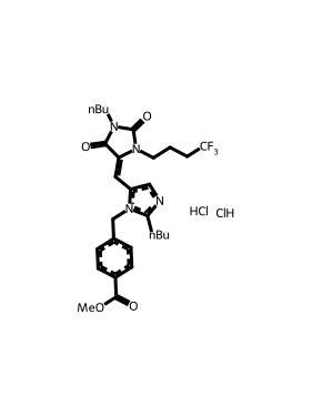 CCCCc1ncc(/C=C2/C(=O)N(CCCC)C(=O)N2CCCC(F)(F)F)n1Cc1ccc(C(=O)OC)cc1.Cl.Cl